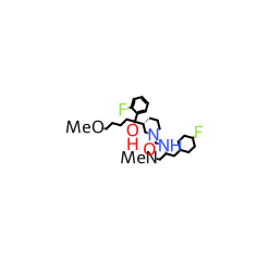 CNCC(CC1CCC(F)CC1)NC(=O)N1CCC[C@@H]([C@](O)(CCCCOC)c2ccccc2F)C1